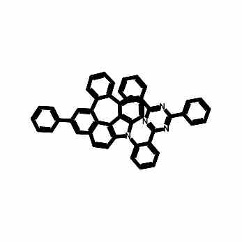 c1ccc(-c2cc3c4c(ccc5c4c4c(cccc4n5-c4ccccc4-c4nc(-c5ccccc5)nc(-c5ccccc5)n4)-c4ccccc4-3)c2)cc1